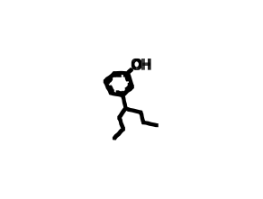 CCCC(CCC)c1cccc(O)c1